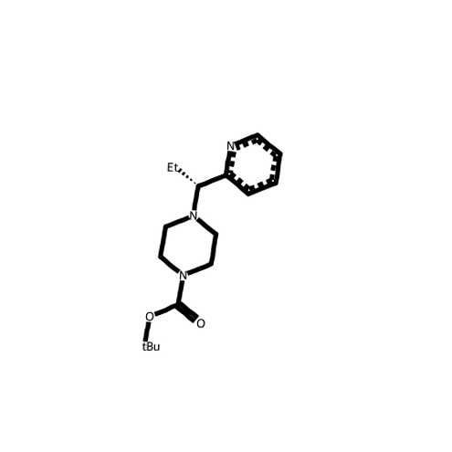 CC[C@H](c1ccccn1)N1CCN(C(=O)OC(C)(C)C)CC1